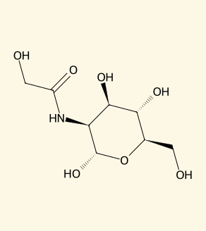 O=C(CO)N[C@H]1[C@@H](O)[C@H](O)[C@@H](CO)O[C@@H]1O